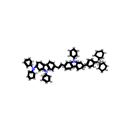 C(=C\c1ccc2c3ccc(N(c4ccccc4)c4ccccc4)cc3n(-c3ccccc3)c2c1)/c1ccc2c3ccc(-c4ccc([SiH](C5CCCCC5)C5CCCCC5)cc4)cc3n(-c3ccccc3)c2c1